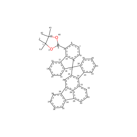 CC1(C)OB(c2cccc3c2-c2ccccc2C32c3ccccc3-c3c2cc2c4c(cccc34)-c3ccccc3-2)OC1(C)C